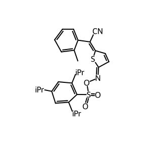 Cc1ccccc1C(C#N)=C1C=CC(=NOS(=O)(=O)c2c(C(C)C)cc(C(C)C)cc2C(C)C)S1